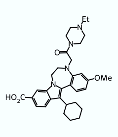 CCN1CCN(C(=O)CN2CCn3c(c(C4CCCCC4)c4ccc(C(=O)O)cc43)-c3ccc(OC)cc32)CC1